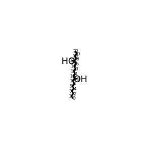 CCCCC/C=C/CC(O)/C=C/C=C/C=C/C(O)CCCC